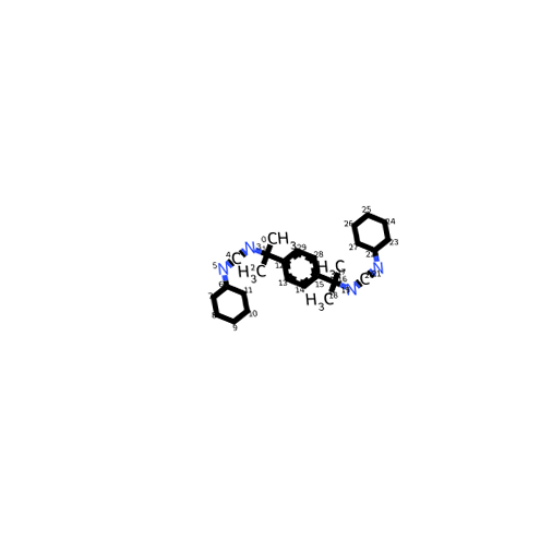 CC(C)(N=C=NC1CCCCC1)c1ccc(C(C)(C)N=C=NC2CCCCC2)cc1